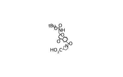 CC(C)(C)OC(=O)NCc1cc(=O)c2cc(C(=O)N3CCC(C(=O)O)C3)ccc2o1